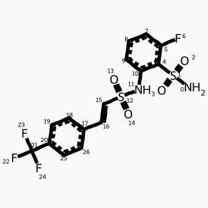 NS(=O)(=O)c1c(F)cccc1NS(=O)(=O)C=Cc1ccc(C(F)(F)F)cc1